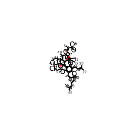 COC(=O)/C(C)=C\CC12OC(C)(C)C(C)C13Oc1c(CC=C(C)C)c4c(c(OC(=O)CCl)c1C(=O)C3C(N1CCOCC1)C(C)C2=O)C=CC(C)(CCC=C(C)C)O4